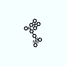 c1ccc(N(c2ccc(-c3ccc(-n4c5ccccc5n5c6ccccc6nc45)cc3)cc2)c2ccc3c(c2)C2(c4ccccc4-c4ccccc42)c2ccccc2-3)cc1